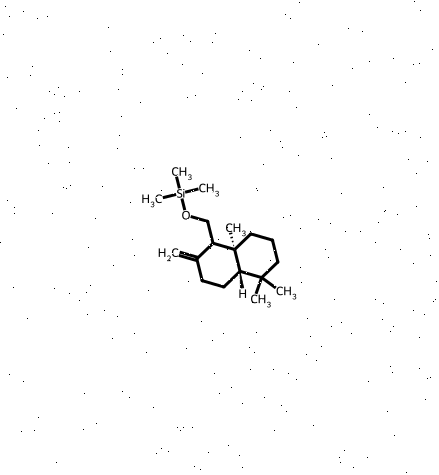 C=C1CC[C@H]2C(C)(C)CCC[C@]2(C)C1CO[Si](C)(C)C